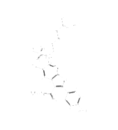 CCOC(C)CCCCN(c1nc2oc(-c3ccc(CC)cc3)c(C(=O)NC)c2cc1I)S(C)(=O)=O